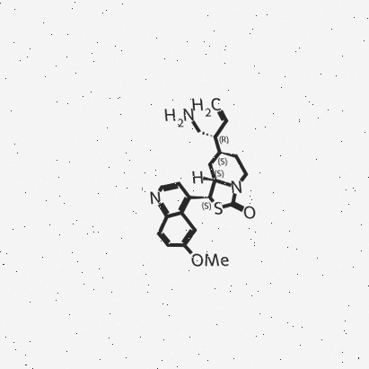 C=C[C@@H](CN)[C@H]1CCN2C(=O)S[C@@H](c3ccnc4ccc(OC)cc34)[C@@H]2C1